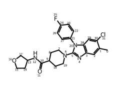 Cc1cc2nc(N3CCC(C(=O)NC4CCOC4)CC3)n(-c3ccc(F)cc3)c2cc1Cl